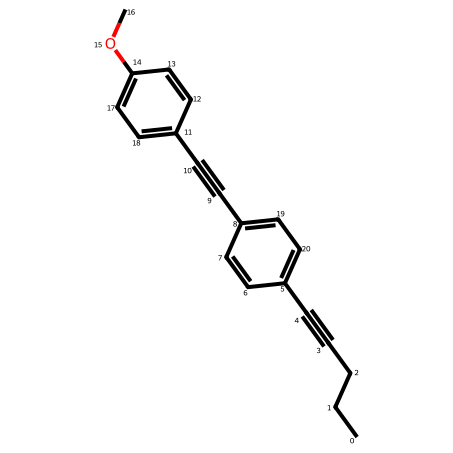 CCCC#Cc1ccc(C#Cc2ccc(OC)cc2)cc1